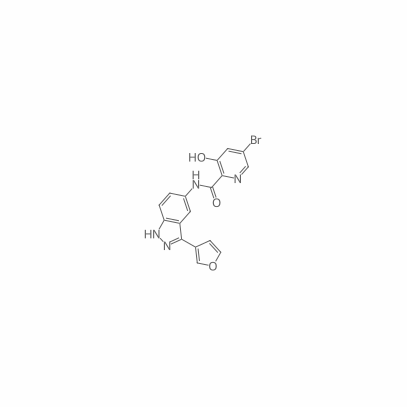 O=C(Nc1ccc2[nH]nc(-c3ccoc3)c2c1)c1ncc(Br)cc1O